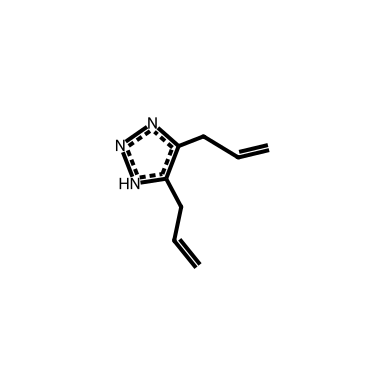 C=CCc1nn[nH]c1CC=C